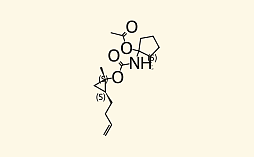 C=CCC[C@H]1C[C@]1(C)OC(=O)NC1(OC(C)=O)CCC[C@@H]1C